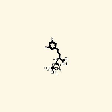 CC(C)(C)OC(=O)NC(CCCc1cc(F)cc(F)c1)C(=O)O